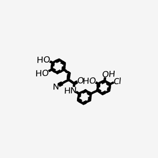 N#C/C(=C\c1ccc(O)c(O)c1)C(=O)Nc1cccc(-c2ccc(Cl)c(O)c2O)c1